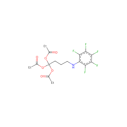 CCC(=O)O[Si](CCCNc1c(F)c(F)c(F)c(F)c1F)(OC(=O)CC)OC(=O)CC